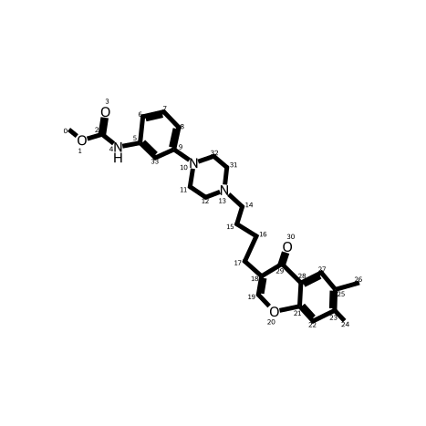 COC(=O)Nc1cccc(N2CCN(CCCCc3coc4cc(C)c(C)cc4c3=O)CC2)c1